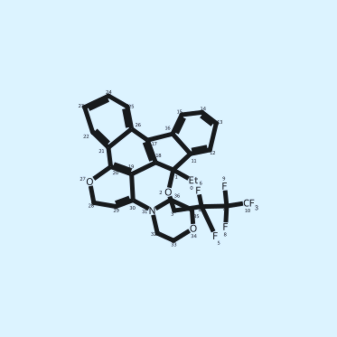 CCC1(OCC(F)(F)C(F)(F)C(F)(F)F)c2ccccc2-c2c1c1c(c3ccccc23)OCC=C1N1CCOCC1